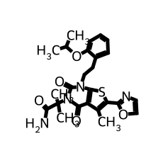 Cc1c(-c2ncco2)sc2c1c(=O)n(C(C)(C)C(N)=O)c(=O)n2CCc1ccccc1OC(C)C